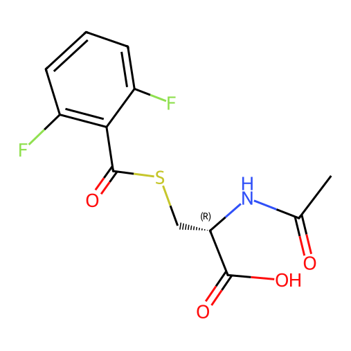 CC(=O)N[C@@H](CSC(=O)c1c(F)cccc1F)C(=O)O